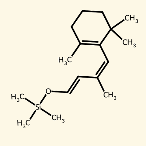 CC(C=CO[Si](C)(C)C)=CC1=C(C)CCCC1(C)C